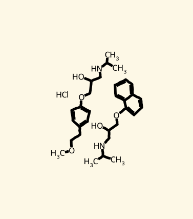 CC(C)NCC(O)COc1cccc2ccccc12.COCCc1ccc(OCC(O)CNC(C)C)cc1.Cl